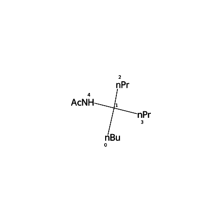 CCCCC(CCC)(CCC)NC(C)=O